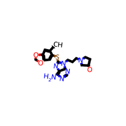 C#Cc1cc2c(cc1Sc1nc3c(N)ncnc3n1CCCN1CCC(=O)C1)OCO2